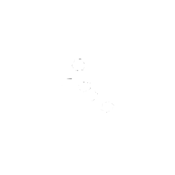 O=C(Nc1ccc2c(c1)CCCC=C2c1ccccc1)c1c(F)cccc1F